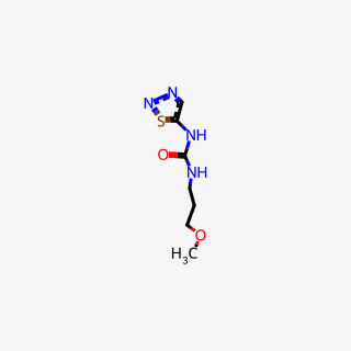 COCCCNC(=O)Nc1cnns1